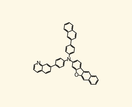 c1ccc2cc(-c3ccc(N(c4ccc(-c5ccc6cccnc6c5)cc4)c4ccc5c(c4)oc4cc6ccccc6cc45)cc3)ccc2c1